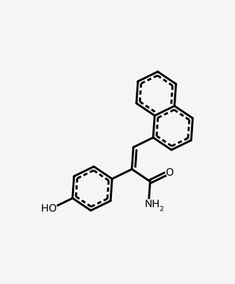 NC(=O)C(=Cc1cccc2ccccc12)c1ccc(O)cc1